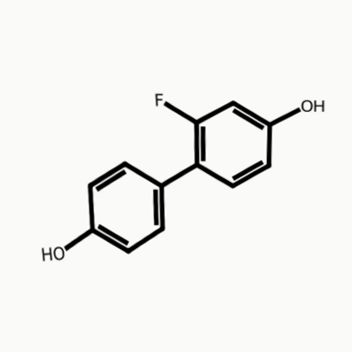 Oc1ccc(-c2ccc(O)cc2F)cc1